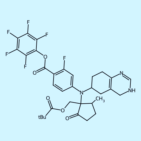 CC1CCC(=O)C1(COC(=O)C(C)(C)C)N(c1ccc(C(=O)Oc2c(F)c(F)c(F)c(F)c2F)c(F)c1)C1CCC2=C(CNC=N2)C1